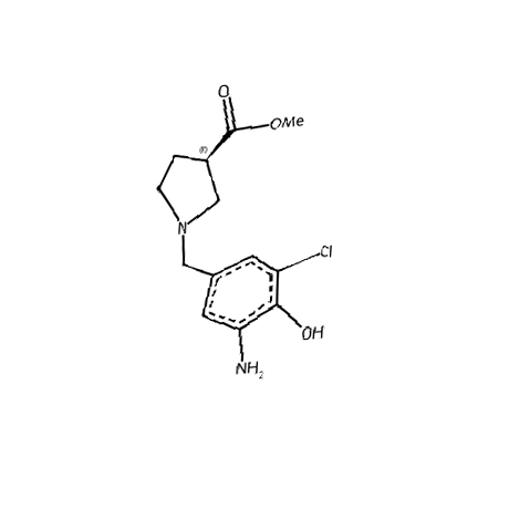 COC(=O)[C@@H]1CCN(Cc2cc(N)c(O)c(Cl)c2)C1